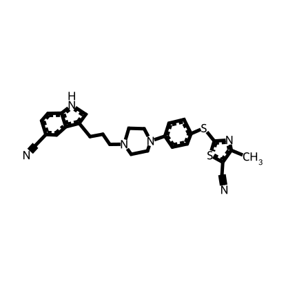 Cc1nc(Sc2ccc(N3CCN(CCCc4c[nH]c5ccc(C#N)cc45)CC3)cc2)sc1C#N